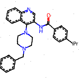 CC(C)c1ccc(C(=O)Nc2cnc3ccccc3c2N2CCN(Cc3ccccc3)CC2)cc1